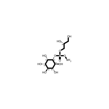 NOP(=O)(OC[C@H](O)CO)O[C@@H]1[C@@H](O)[C@H](O)[C@@H](O)[C@H](O)[C@@H]1O